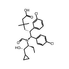 CC[C@@H]([C@@H](O)C1CC1)N(C=O)[C@H](c1ccc(Cl)cc1)[C@H](CC(C)(C)CC(=O)O)c1cccc(Cl)c1